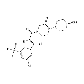 O=C(c1nc2c(C(F)(F)F)cc(Cl)cn2c1Cl)N1CCN([C@H]2CC[C@H](O)CC2)C(=O)C1